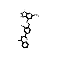 CC(NC(=O)c1ccc(COc2cc(N)nc3c2NNN3)c(Cl)c1)c1ccccc1